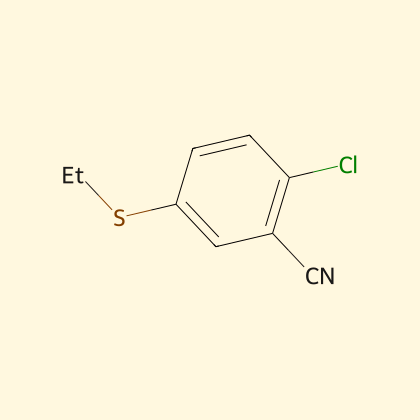 CCSc1ccc(Cl)c(C#N)c1